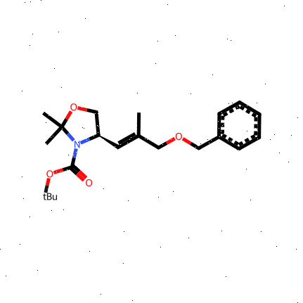 C/C(=C\[C@@H]1COC(C)(C)N1C(=O)OC(C)(C)C)COCc1ccccc1